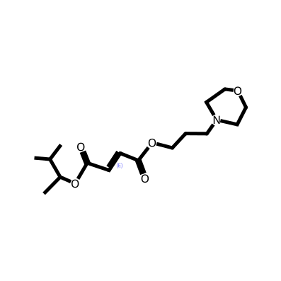 CC(C)C(C)OC(=O)/C=C/C(=O)OCCCN1CCOCC1